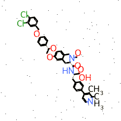 Cc1nccc(-c2ccc(C[C@H](NC(=O)[C@@H]3Cc4cc5c(cc4CN3C=O)O[C@@H](c3ccc(OCc4ccc(Cl)c(Cl)c4)cc3)CO5)C(=O)O)cc2)c1C